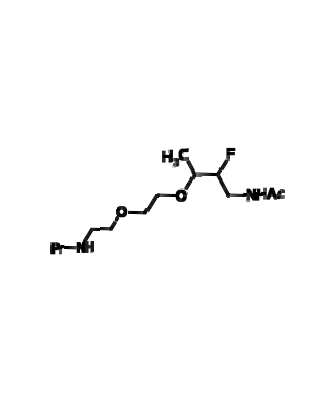 CC(=O)NCC(F)C(C)OCCOCCNC(C)C